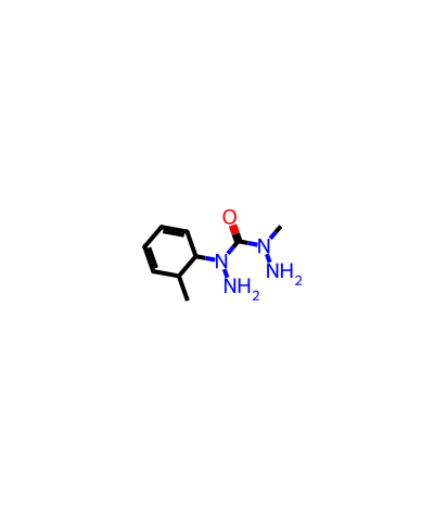 CC1C=CC=CC1N(N)C(=O)N(C)N